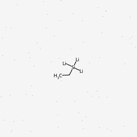 [Li][Si]([Li])([Li])CC